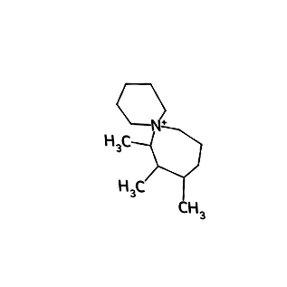 CC1CCC[N+]2(CCCCC2)C(C)C1C